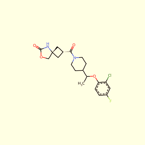 CC(Oc1ccc(F)cc1Cl)C1CCN(C(=O)[C@H]2C[C@]3(COC(=O)N3)C2)CC1